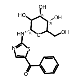 O=C(c1ccccc1)c1cnc(N[C@H]2OC(CO)[C@@H](O)[C@H](O)C2O)s1